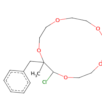 CC1(Cc2ccccc2)OCCOCCOCCOCCOC1Cl